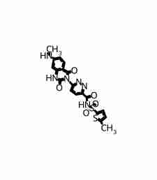 CNc1ccc2c(=O)n(-c3ccc(C(=O)NS(=O)(=O)c4ccc(C)s4)nn3)c(=O)[nH]c2c1